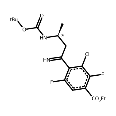 CCOC(=O)c1cc(F)c(C(=N)C[C@H](C)NC(=O)OC(C)(C)C)c(Cl)c1F